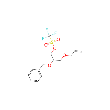 C=CCOCC(COS(=O)(=O)C(F)(F)F)OCc1ccccc1